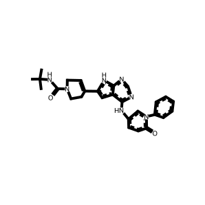 CC(C)(C)NC(=O)N1CC=C(c2cc3c(Nc4ccc(=O)n(-c5ccccc5)c4)ncnc3[nH]2)CC1